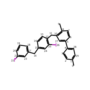 Cc1ccc(-c2ccc(C)c(Cc3ccc(Cc4cccc(I)c4)cc3I)c2)cc1